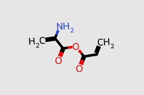 C=CC(=O)OC(=O)C(=C)N